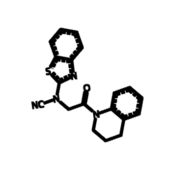 N#CN(CC(=O)N1CCCc2ccccc21)c1nc2ccccc2s1